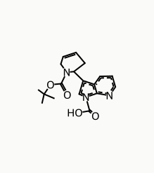 CC(C)(C)OC(=O)N1CC=CCC1c1cn(C(=O)O)c2ncccc12